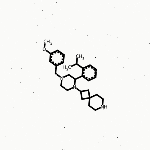 COc1cccc(CN2CCN(C3CC4(CCNCC4)C3)C(c3ccccc3C(C)C)C2)c1